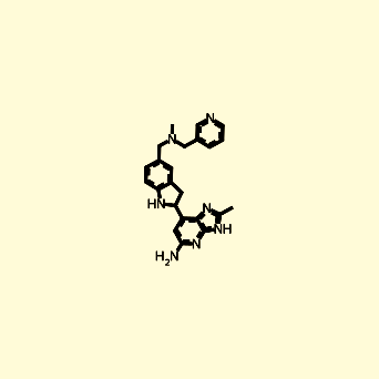 Cc1nc2c(C3Cc4cc(CN(C)Cc5cccnc5)ccc4N3)cc(N)nc2[nH]1